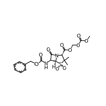 COC(=O)OCOC(=O)[C@@H]1N2C(=O)C(NC(=O)OCc3ccccc3)[C@H]2S(=O)(=O)C1(C)C